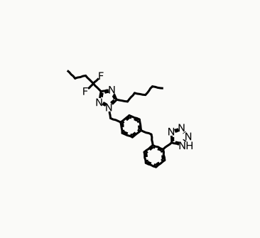 CCCCCc1nc(C(F)(F)CCC)nn1Cc1ccc(Cc2ccccc2-c2nnn[nH]2)cc1